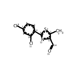 Cc1sc(-c2ccc(Cl)cc2Cl)nc1C=O